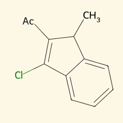 CC(=O)C1=C(Cl)c2ccccc2C1C